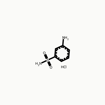 Cl.Nc1cccc(S(N)(=O)=O)c1